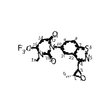 C[C@H]1O[C@@H]1c1nsc2ccc(-n3c(=O)cc(C(F)(F)F)n(C)c3=O)cc12